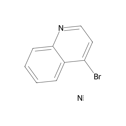 Brc1ccnc2ccccc12.[N]